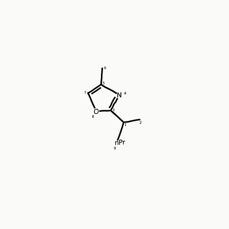 CCCC(C)c1nc(C)co1